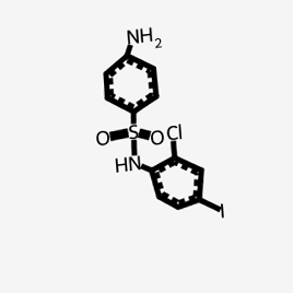 Nc1ccc(S(=O)(=O)Nc2ccc(I)cc2Cl)cc1